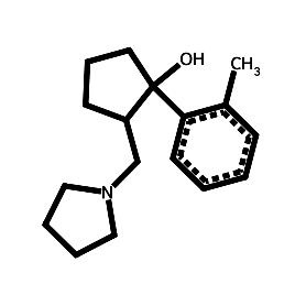 Cc1ccccc1C1(O)CCCC1CN1CCCC1